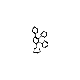 [c]1[c]c(-c2[c][c]c(-c3ccccc3)c(-c3ccccc3)c2-c2ccccc2)ccc1